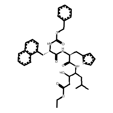 CCOC(=O)CC(O)C(CC(C)C)NC(=O)[C@H](Cc1cccs1)NC(=O)[C@H](Cc1cccc2ccccc12)NC(=O)OCc1ccccc1